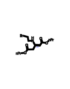 CCCOC(=O)/C=C(/CC(=O)OCCC)NCCBr